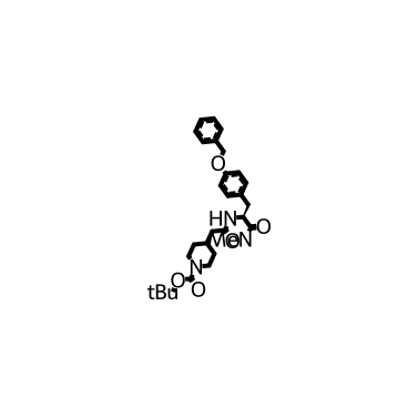 CNC(=O)[C@H](Cc1ccc(OCc2ccccc2)cc1)NC(=O)CC1CCN(C(=O)OC(C)(C)C)CC1